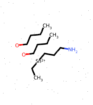 CCCC[O-].CCCC[O-].C[CH2][Sn+2][CH2]CCN